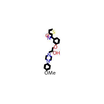 COc1ccc(N2CCN(C[C@@H](O)COc3cccc(-c4noc5ccsc45)c3)CC2)cc1